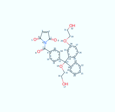 O=C1C=CC(=O)N1C(=O)c1ccc(C(OCCO)(c2ccccc2)c2cccc(OCCO)c2)cc1